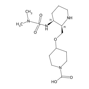 CN(C)S(=O)(=O)N[C@H]1CCCN[C@H]1COC1CCN(C(=O)O)CC1